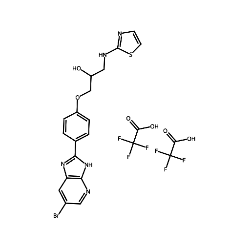 O=C(O)C(F)(F)F.O=C(O)C(F)(F)F.OC(CNc1nccs1)COc1ccc(-c2nc3cc(Br)cnc3[nH]2)cc1